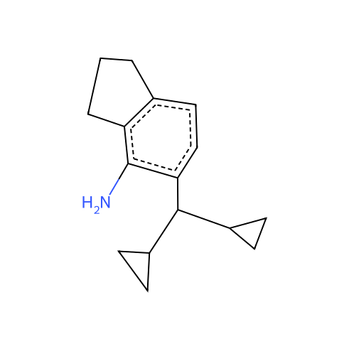 Nc1c(C(C2CC2)C2CC2)ccc2c1CCC2